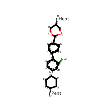 CCCCCCCC1COC(c2ccc(-c3ccc([C@H]4CC[C@H](CCCCC)CC4)cc3F)cc2)OC1